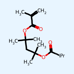 C=C(C)C(=O)OC(C)(C)CC(C)(C)OC(=O)C(C)C